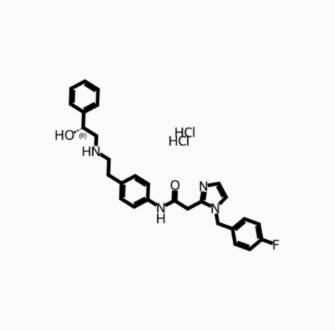 Cl.Cl.O=C(Cc1nccn1Cc1ccc(F)cc1)Nc1ccc(CCNC[C@H](O)c2ccccc2)cc1